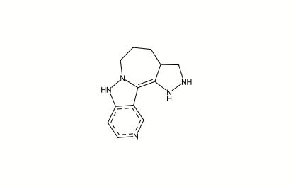 c1cc2c(cn1)C1=C3NNCC3CCCN1N2